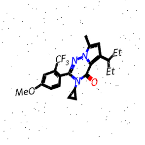 CCC(CC)c1cc(C)n2nc(-c3ccc(OC)cc3C(F)(F)F)n(C3CC3)c(=O)c12